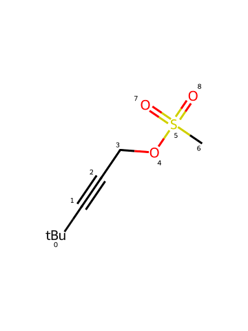 CC(C)(C)C#CCOS(C)(=O)=O